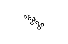 CC1(C)c2ccccc2-c2ccc(-c3nnc(-c4ccc(-n5c6ccccc6c6ccccc65)cc4)n3-c3ccccc3)cc21